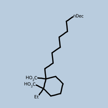 CCCCCCCCCCCCCCCCCC1(C(=O)O)CCCCC1(CC)C(=O)O